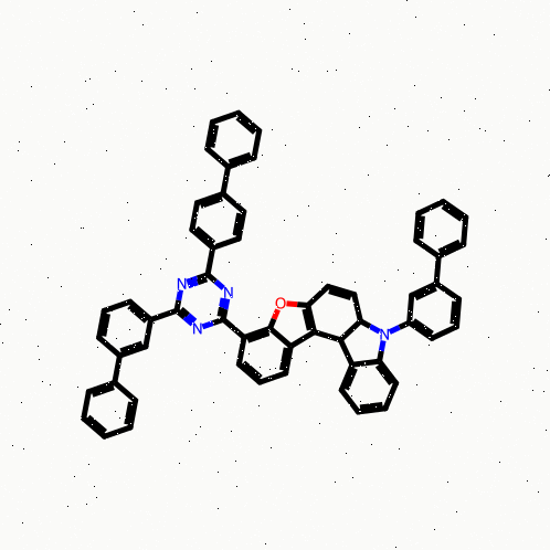 C1=CC2C(c3ccccc3N2c2cccc(-c3ccccc3)c2)c2c1oc1c(-c3nc(-c4ccc(-c5ccccc5)cc4)nc(-c4cccc(-c5ccccc5)c4)n3)cccc21